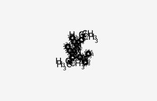 CC(C)(C)c1ccc2c(c1)c1c3ccccc3cc3c4c5c6c7ccccc7cc7c8cc(C(C)(C)C)cc(-c9ccc%10c(c9)c9ccccc9n%10-c9ccccc9)c8n(c5ncc4n2c31)c76